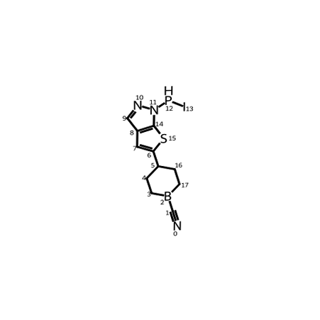 N#CB1CCC(c2cc3cnn(PI)c3s2)CC1